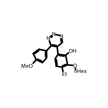 CCCCCCOc1c(CC)ccc(-c2cnnnc2-c2ccc(OC)cc2)c1O